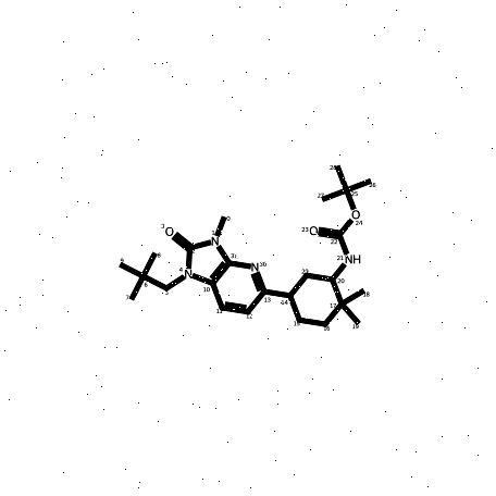 Cn1c(=O)n(CC(C)(C)C)c2ccc(C3CCC(C)(C)C(NC(=O)OC(C)(C)C)C3)nc21